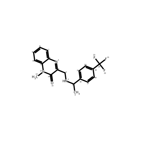 CC(NCc1nc2ccccc2n(C)c1=O)c1ccc(C(F)(F)F)cc1